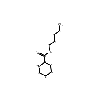 CCCCCOC(=O)C1CCCC[N]1